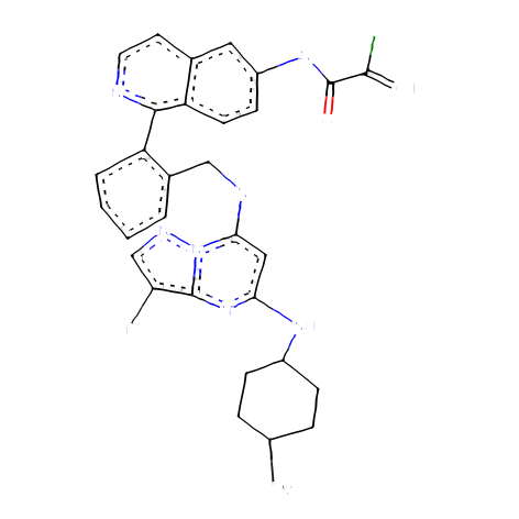 C=C(F)C(=O)Nc1ccc2c(-c3ccccc3CNc3cc(NC4CCC(OC)CC4)nc4c(C(C)C)cnn34)nccc2c1